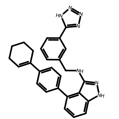 C1=C(c2ccc(-c3cccc4[nH]nc(NCc5cccc(-c6nnn[nH]6)c5)c34)cc2)CCCC1